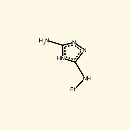 CCNc1nnc(N)[nH]1